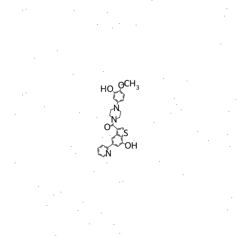 COc1ccc(N2CCN(C(=O)c3csc4c(O)cc(-c5ccccn5)cc34)CC2)cc1O